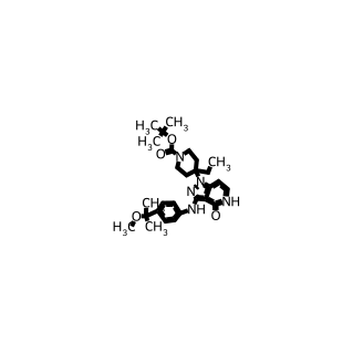 CCC1(n2nc(Nc3ccc(C(C)(C)OC)cc3)c3c(=O)[nH]ccc32)CCN(C(=O)OC(C)(C)C)CC1